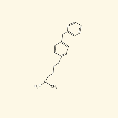 CN(C)CCCCc1ccc(Cc2ccccc2)cc1